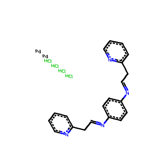 C(Cc1ccccn1)=Nc1ccc(N=CCc2ccccn2)cc1.Cl.Cl.Cl.Cl.[Pd].[Pd]